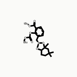 CC1(C)CCC2OB(Cc3cccc(C(=O)OC(C)(C)C)c3OC(=O)OC(C)(C)C)OC2(C)C1